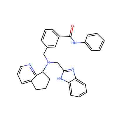 O=C(Nc1ccccc1)c1cccc(CN(Cc2nc3ccccc3[nH]2)C2CCCc3cccnc32)c1